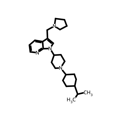 CC(C)C1CCC(N2CCC(n3cc(CN4CCCC4)c4cccnc43)CC2)CC1